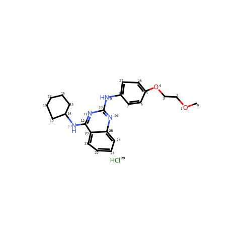 COCCOc1ccc(Nc2nc(NC3CCCCC3)c3ccccc3n2)cc1.Cl